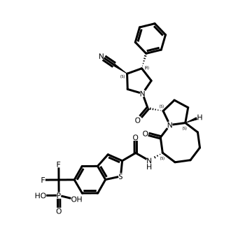 N#C[C@@H]1CN(C(=O)[C@@H]2CC[C@@H]3CCCC[C@H](NC(=O)c4cc5cc(C(F)(F)P(=O)(O)O)ccc5s4)C(=O)N32)C[C@H]1c1ccccc1